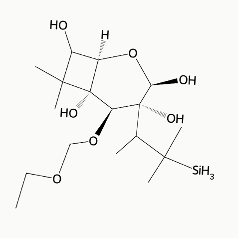 CCOCO[C@@H]1[C@](O)(C(C)C(C)(C)[SiH3])[C@H](O)O[C@@H]2C(O)C(C)(C)[C@@]21O